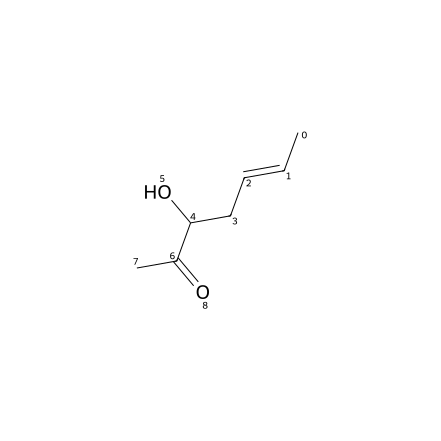 C/C=C/CC(O)C(C)=O